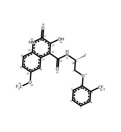 C[C@H](COc1ccccc1C(F)(F)F)NC(=O)c1c(O)c(=O)[nH]c2ccc(OC(F)(F)F)cc12